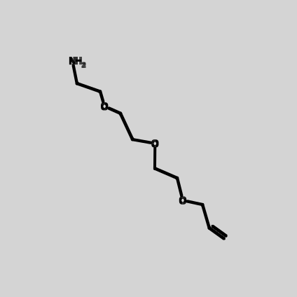 C=CCOCCOCCOCCN